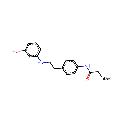 CCCCCCCCCCCC(=O)Nc1ccc(CCNc2cccc(O)c2)cc1